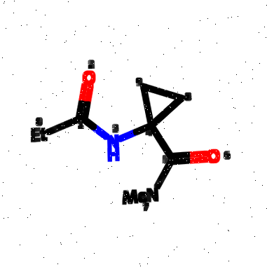 CCC(=O)NC1(C(=O)NC)CC1